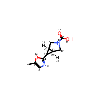 Cc1cnc(C2[C@H]3CN(C(=O)O)C[C@@H]23)o1